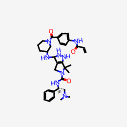 C=CC(=O)Nc1ccc(C(=O)N2CCCC(NC3NNC4=C3CN(C(=O)N[C@H](CN(C)C)c3ccccc3)C4(C)C)C2)cc1